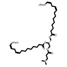 CCCCC/C=C\C/C=C\CCCCCCCC(=O)OC[C@H](COC(=O)CCN(C)C)OC(=O)CCCCCCC/C=C\C/C=C\CCCCC